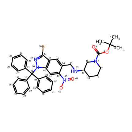 CC(C)(C)OC(=O)N1CCC[C@@H](NCc2cc3c(Br)nn(C(c4ccccc4)(c4ccccc4)c4ccccc4)c3cc2[N+](=O)[O-])C1